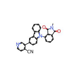 CN1C(=O)c2cccc(-n3c4ccccc4c4cc(-c5cnccc5C#N)ccc43)c2C1=O